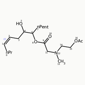 CCC/C=C\CC(O)C(CCCCC)OC(=O)CN(C)CCOC(C)=O